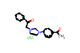 CC(=O)c1ccc(N2C=CN(CC(=O)c3ccccc3)C2)cc1.Cl